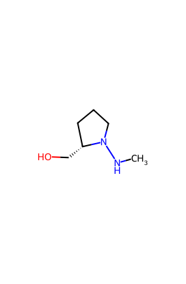 CNN1CCC[C@H]1CO